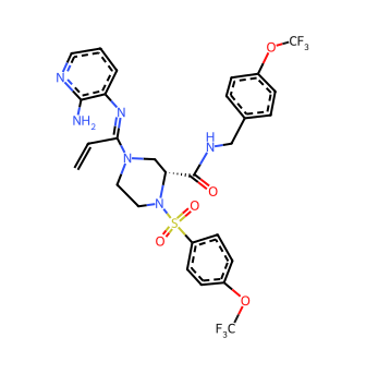 C=C/C(=N\c1cccnc1N)N1CCN(S(=O)(=O)c2ccc(OC(F)(F)F)cc2)[C@@H](C(=O)NCc2ccc(OC(F)(F)F)cc2)C1